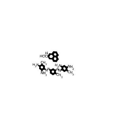 C1=Cc2cccc3cccc(c23)C1.Cc1cc(/N=N/c2ccc(C)c(/N=N/c3cc(C)c(N)cc3N)c2)c(N)cc1N.Cl.Cl